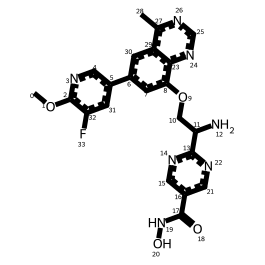 COc1ncc(-c2cc(OCC(N)c3ncc(C(=O)NO)cn3)c3ncnc(C)c3c2)cc1F